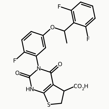 CC(Oc1ccc(F)c(-n2c(=O)[nH]c3c(c2=O)C(C(=O)O)CS3)c1)c1c(F)cccc1F